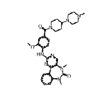 COc1cc(C(=O)N2CCC(N3CCN(C)CC3)CC2)ccc1Nc1ncc2c(n1)-c1ccccc1N(C)C(=O)N2C